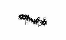 O=C(NCc1ncccc1F)c1coc(CCNCc2nc3cc4ccccc4cc3[nH]2)n1